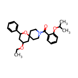 CCOC1CC(c2ccccc2)OC2(CCN(C(=O)c3ccccc3OC(C)C)CC2)C1